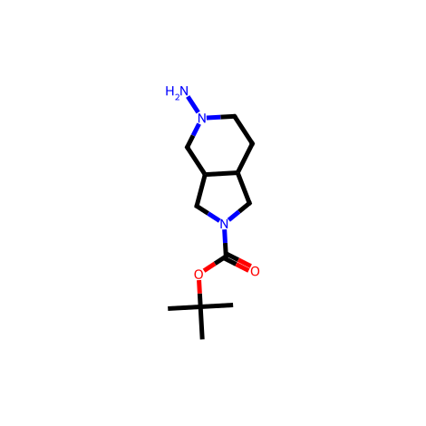 CC(C)(C)OC(=O)N1CC2CCN(N)CC2C1